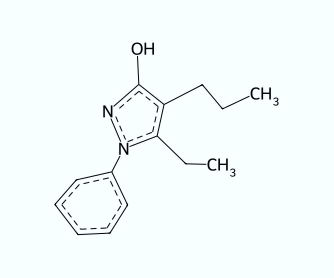 CCCc1c(O)nn(-c2ccccc2)c1CC